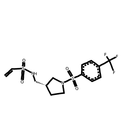 C=CS(=O)(=O)NC[C@H]1CCN(S(=O)(=O)c2ccc(C(F)(F)F)cc2)C1